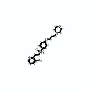 O=S(=O)(/C=C/c1ncccc1F)c1ccc(OCCCN2CCOCC2)cc1